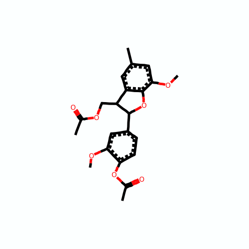 COc1cc(C2Oc3c(OC)cc(C)cc3C2COC(C)=O)ccc1OC(C)=O